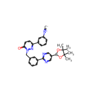 [C-]#[N+]c1cccc(-c2ccc(=O)n(Cc3cccc(-c4ncc(B5OC(C)(C)C(C)(C)O5)cn4)c3)n2)c1